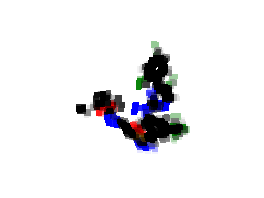 CC(C)(C)OC(=O)NCCS(=N)(=O)Cc1cc(Nc2ncc(F)c(-c3ccc(F)cc3F)n2)cc(C(F)(F)F)c1